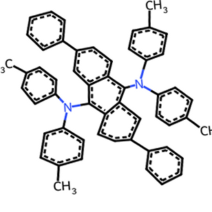 Cc1ccc(N(c2ccc(C)cc2)c2c3ccc(-c4ccccc4)cc3c(N(c3ccc(C)cc3)c3ccc(C)cc3)c3ccc(-c4ccccc4)cc23)cc1